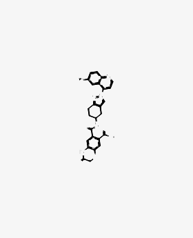 COc1ccc2nccc(-n3cc4c(n3)CCC(NC(=O)c3cc5c(cc3C(=O)O)SCC(=O)N5)C4)c2c1